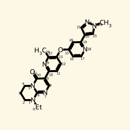 CCN1CCCn2c1ncc(-c1ccc(Oc3ccnc(-c4cnn(C)c4)c3)c(C)n1)c2=O